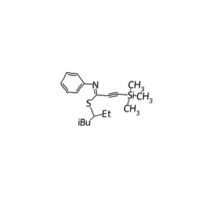 CCC(C)C(CC)SC(C#C[Si](C)(C)C)=Nc1ccccc1